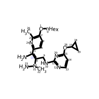 CCCCCCOc1ccc(/C(N)=C(\CNc2nccc(OC3CC3)n2)N(C)N)nc1C